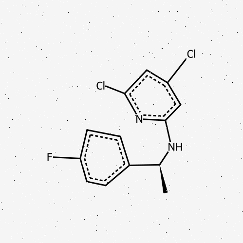 C[C@H](Nc1cc(Cl)cc(Cl)n1)c1ccc(F)cc1